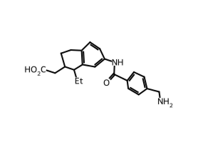 CCC1c2cc(NC(=O)c3ccc(CN)cc3)ccc2CCC1CC(=O)O